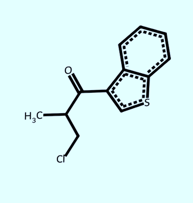 CC(CCl)C(=O)c1csc2ccccc12